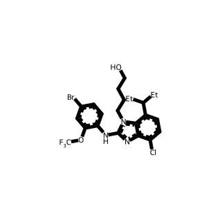 CCC(CC)c1ccc(Cl)c2nc(Nc3ccc(Br)cc3OC(F)(F)F)n(CCCCO)c12